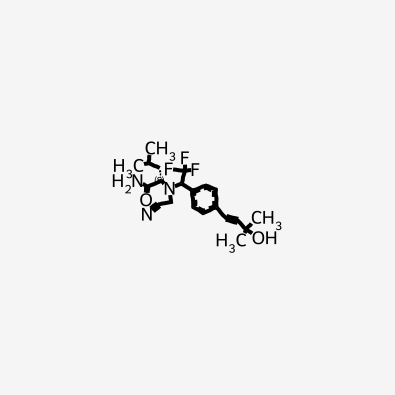 CC(C)C[C@@H](C(N)=O)N(CC#N)C(c1ccc(C#CC(C)(C)O)cc1)C(F)(F)F